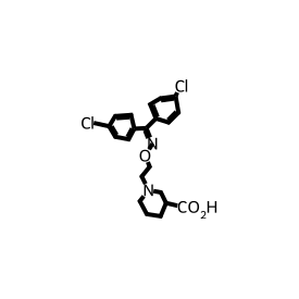 O=C(O)C1CCCN(CCON=C(c2ccc(Cl)cc2)c2ccc(Cl)cc2)C1